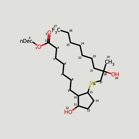 CCCCCCCCCCOC(=O)CCCCCCC1C(O)CCC1SCC(C)(O)CCCCCCC(F)(F)F